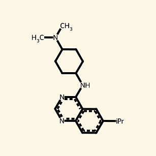 CC(C)c1ccc2ncnc(NC3CCC(N(C)C)CC3)c2c1